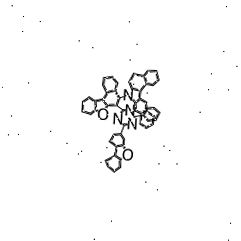 c1ccc(-c2nc(-c3ccc4c(c3)oc3ccccc34)nc(-c3c(-n4c5cc6ccccc6cc5c5c6ccccc6ccc54)c4ccccc4c4c3oc3ccccc34)n2)cc1